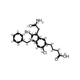 NC(=O)Cc1c(Br)n(Cc2ccccc2)c2cc(Cl)c(CCCC(=O)O)cc12